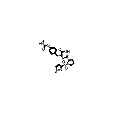 CN(C)C(=O)Oc1ccc(C[C@H](NC(=O)[C@@H]2CCCN2S(=O)(=O)c2ccn(C)n2)C(=O)O)cc1